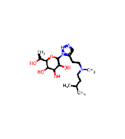 C=C(O)C1OC(n2nncc2CCN(C)CCC(C)C)C(O)C(O)C1O